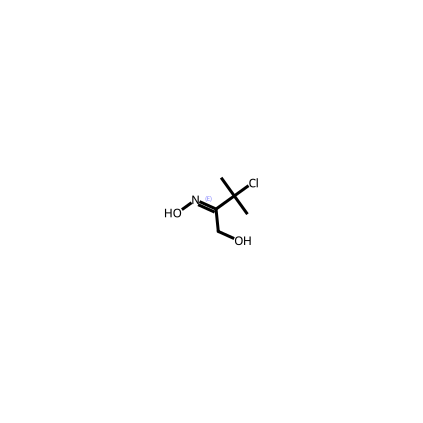 CC(C)(Cl)/C(CO)=N/O